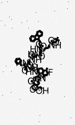 CC[C@@]1(O)COCc2c1cc1n(c2=O)Cc2c-1nc1cc(F)c(C)c3c1c2[C@@H](NC(=O)CNC(=O)[C@H](Cc1ccccc1)NC(=O)CNC(=O)CNC(=O)[C@H](CCCCNC(=O)OC(C)(C)C)NC(=O)OCC1c2ccccc2-c2ccccc21)CC3